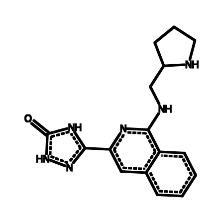 O=c1[nH]nc(-c2cc3ccccc3c(NCC3CCCN3)n2)[nH]1